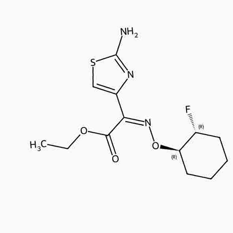 CCOC(=O)C(=NO[C@@H]1CCCC[C@H]1F)c1csc(N)n1